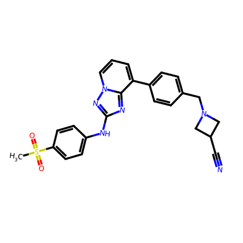 CS(=O)(=O)c1ccc(Nc2nc3c(-c4ccc(CN5CC(C#N)C5)cc4)cccn3n2)cc1